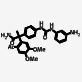 COc1cc(C(C)=O)c(C(C)(C(N)=O)c2ccc(NC(=O)Nc3cccc(N)c3)cc2)cc1OC